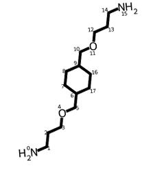 NCCCOCC1CCC(COCCCN)CC1